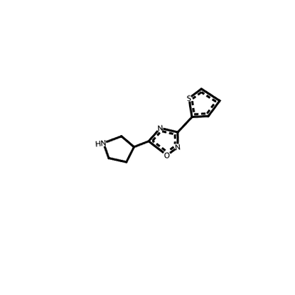 c1csc(-c2noc(C3CCNC3)n2)c1